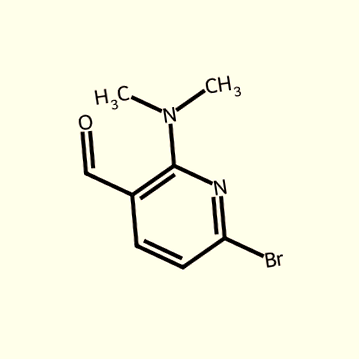 CN(C)c1nc(Br)ccc1C=O